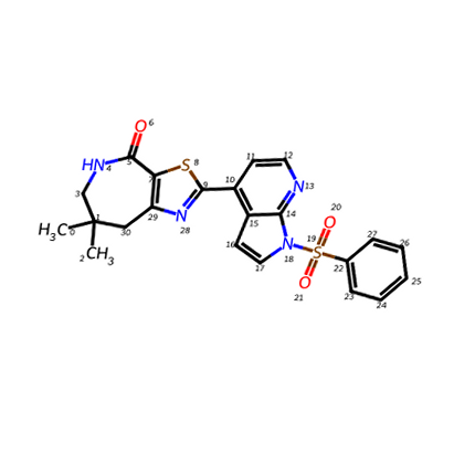 CC1(C)CNC(=O)c2sc(-c3ccnc4c3ccn4S(=O)(=O)c3ccccc3)nc2C1